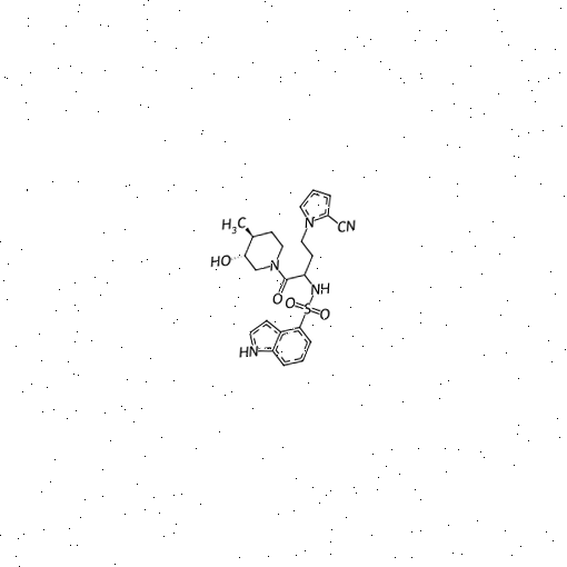 C[C@H]1CCN(C(=O)C(CCn2cccc2C#N)NS(=O)(=O)c2cccc3[nH]ccc23)C[C@@H]1O